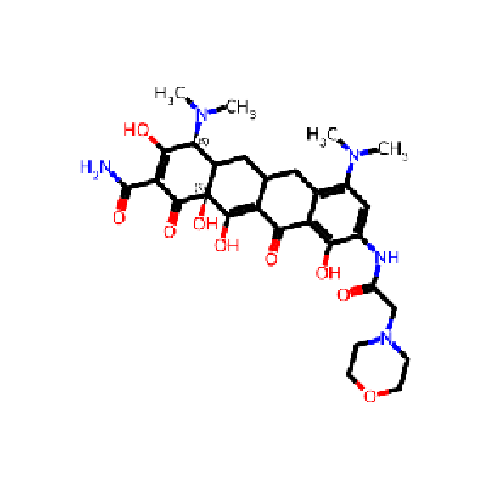 CN(C)c1cc(NC(=O)CN2CCOCC2)c(O)c2c1CC1CC3[C@H](N(C)C)C(O)=C(C(N)=O)C(=O)[C@@]3(O)C(O)=C1C2=O